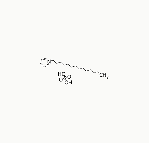 CCCCCCCCCCCCCC[n+]1ccccc1.O=S(=O)(O)O